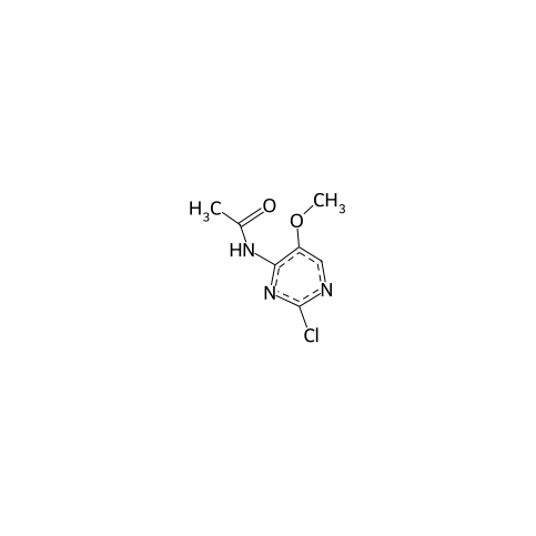 COc1cnc(Cl)nc1NC(C)=O